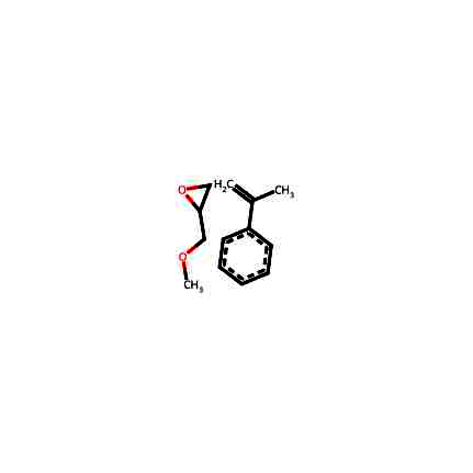 C=C(C)c1ccccc1.COCC1CO1